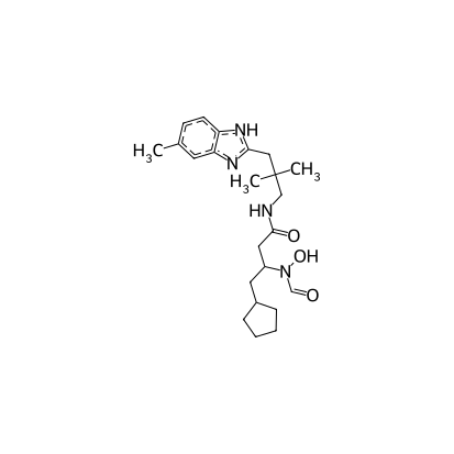 Cc1ccc2[nH]c(CC(C)(C)CNC(=O)CC(CC3CCCC3)N(O)C=O)nc2c1